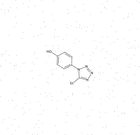 CCc1nnnn1-c1ccc(O)cc1